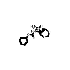 NS(=O)(=O)c1c2sc(NC(=O)Oc3ccccc3)c1OCO2